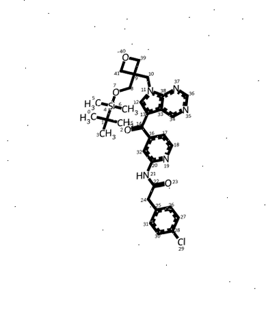 CC(C)(C)[Si](C)(C)OCC1(Cn2cc(C(=O)c3ccnc(NC(=O)Cc4ccc(Cl)cc4)c3)c3cncnc32)COC1